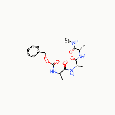 CCNC(=O)C(C)NC(=O)C(C)NC(=O)C(C)NC(=O)OCc1ccccc1